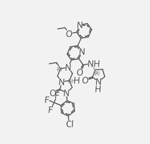 CCOc1ncccc1-c1ccc(N2C[C@H]3CN(c4ccc(Cl)cc4C(F)(F)F)C(=O)N3C[C@H]2CC)c(C(=O)N[C@@H]2CCNC2=O)n1